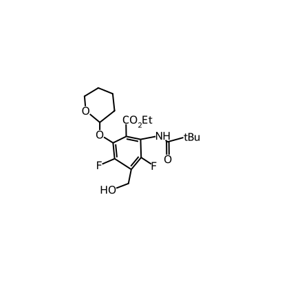 CCOC(=O)c1c(NC(=O)C(C)(C)C)c(F)c(CO)c(F)c1OC1CCCCO1